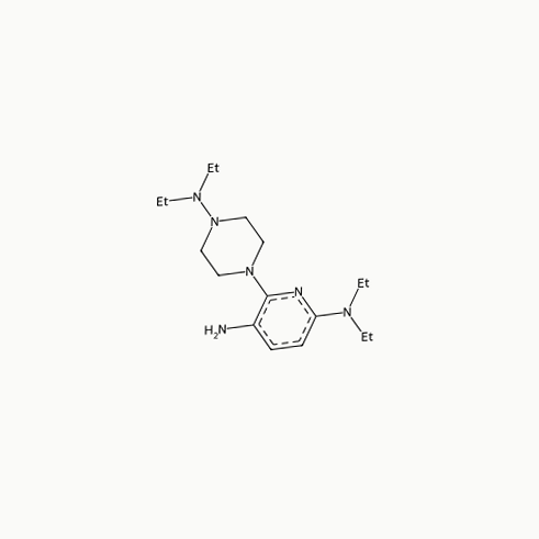 CCN(CC)c1ccc(N)c(N2CCN(N(CC)CC)CC2)n1